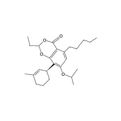 CCCCCc1cc(OC(C)C)c([C@@H]2C=C(C)CCC2)c2c1C(=O)OC(CC)O2